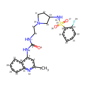 Cc1cc(NC(=O)NCCN2CCC(NS(=O)(=O)c3ccccc3F)C2)c2ccccc2n1